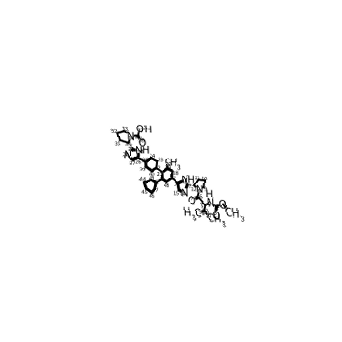 COC(=O)N[C@H](C(=O)N1CCC[C@H]1c1ncc(-c2cc(C)c(-c3ccc(-c4cnc([C@@H]5CCCN5C(=O)O)[nH]4)cc3)c(-c3ccccc3)c2)[nH]1)C(C)C